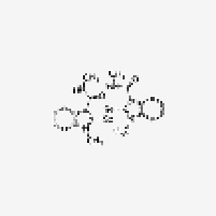 CNC(=O)c1c([Se][Se]c2c(C(=O)NC)c3ccccc3n2C)n(C)c2ccccc12